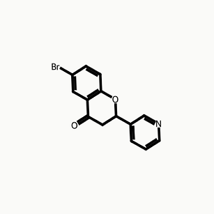 O=C1CC(c2cccnc2)Oc2ccc(Br)cc21